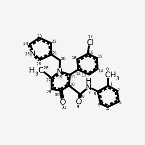 Cc1ccccc1NC(=O)c1c(-c2cccc(Cl)c2)n(Cc2cccnc2)c(C)cc1=O